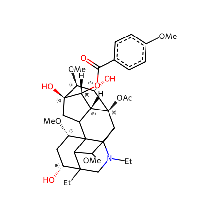 CCN1CC2(CC)C3C(OC)C4C1C3(C1C[C@@]3(O)[C@H](OC(=O)c5ccc(OC)cc5)[C@@H]1[C@]4(OC(C)=O)[C@@H](O)[C@@H]3OC)[C@@H](OC)C[C@H]2O